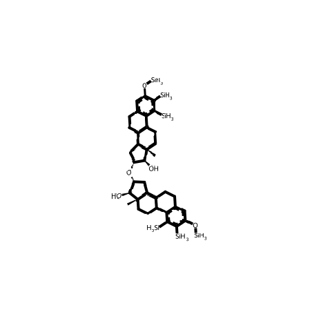 C[C@]12CCC3c4c(cc(O[SiH3])c([SiH3])c4[SiH3])CCC3C1C[C@@H](O[C@@H]1CC3C4CCc5cc(O[SiH3])c([SiH3])c([SiH3])c5C4CC[C@]3(C)[C@H]1O)[C@@H]2O